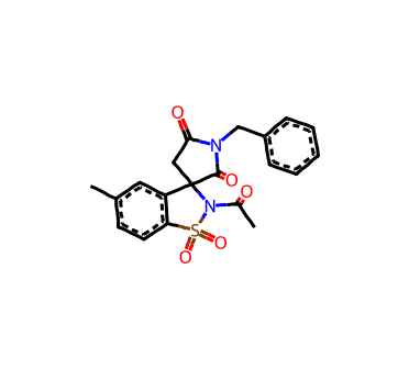 CC(=O)N1C2(CC(=O)N(Cc3ccccc3)C2=O)c2cc(C)ccc2S1(=O)=O